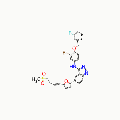 CS(=O)(=O)CCC#Cc1ccc(-c2ccc3ncnc(Nc4ccc(OCc5cccc(F)c5)c(Br)c4)c3c2)o1